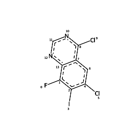 Fc1c(I)c(Cl)cc2c(Cl)ncnc12